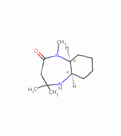 CN1C(=O)CC(C)(C)N[C@@H]2CCCC[C@@H]21